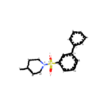 CC1CCN(S(=O)(=O)c2cccc(-c3ccccc3)c2)CC1